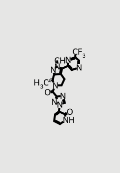 C[C@@H]1c2nn(C)c(-c3cncc(C(F)(F)F)n3)c2CCN1C(=O)c1ncn(-c2ccc[nH]c2=O)n1